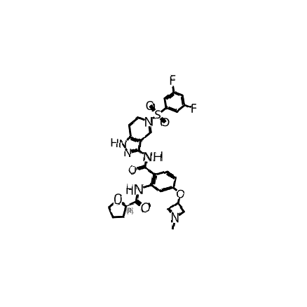 CN1CC(Oc2ccc(C(=O)Nc3n[nH]c4c3CN(S(=O)(=O)c3cc(F)cc(F)c3)CC4)c(NC(=O)[C@H]3CCCO3)c2)C1